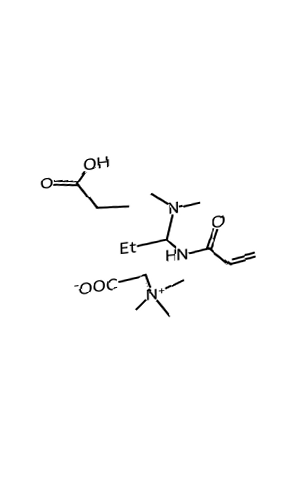 C=CC(=O)NC(CC)N(C)C.CCC(=O)O.C[N+](C)(C)CC(=O)[O-]